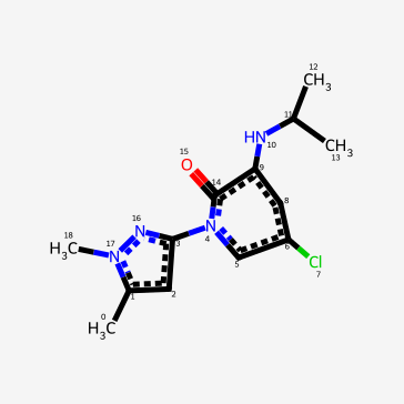 Cc1cc(-n2cc(Cl)cc(NC(C)C)c2=O)nn1C